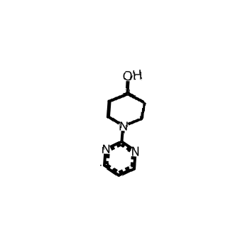 OC1CCN(c2n[c]ccn2)CC1